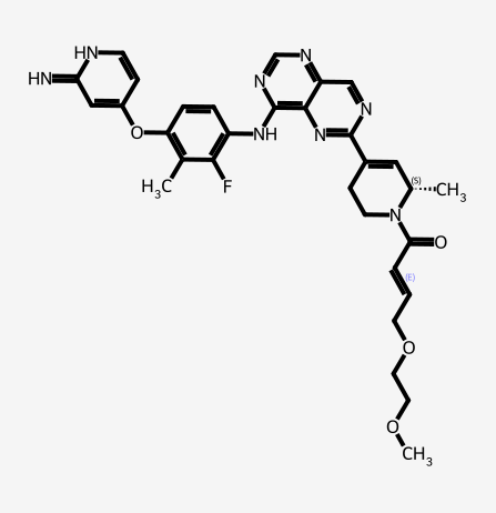 COCCOC/C=C/C(=O)N1CCC(c2ncc3ncnc(Nc4ccc(Oc5cc[nH]c(=N)c5)c(C)c4F)c3n2)=C[C@@H]1C